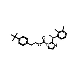 Cc1cccc([C@H](C)c2nccn2C(=O)OCCc2ccc(C(C)(C)C)cc2)c1C